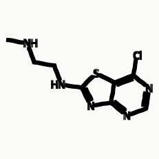 CNCCNc1nc2ncnc(Cl)c2s1